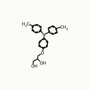 Cc1ccc(N(c2ccc(C)cc2)c2ccc(OCC(O)CO)cc2)cc1